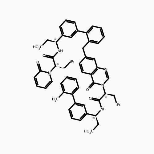 Cc1ccccc1-c1cccc([C@H](CC(=O)O)NC(=O)[C@H](CC(C)C)n2cnc3cc(Cc4ccccc4-c4cccc([C@H](CC(=O)O)NC(=O)[C@H](CC(C)C)n5ccccc5=O)c4)ccc3c2=O)c1